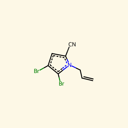 C=CCn1c(C#N)cc(Br)c1Br